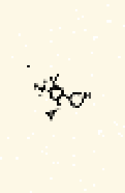 COc1cc(C2CCCNC2)c(OC2CC2)cc1C(F)(F)F